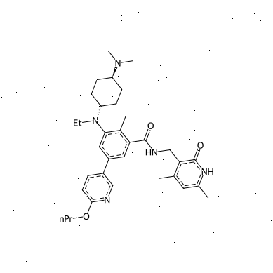 CCCOc1ccc(-c2cc(C(=O)NCc3c(C)cc(C)[nH]c3=O)c(C)c(N(CC)[C@H]3CC[C@H](N(C)C)CC3)c2)cn1